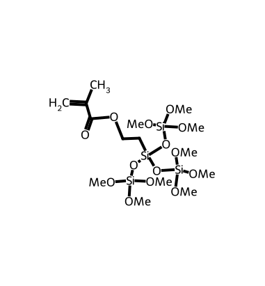 C=C(C)C(=O)OCC[Si](O[Si](OC)(OC)OC)(O[Si](OC)(OC)OC)O[Si](OC)(OC)OC